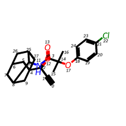 C#CC(=O)C12CC3CC(C1)C(NC(=O)C(C)(C)Oc1ccc(Cl)cc1)C(C3)C2